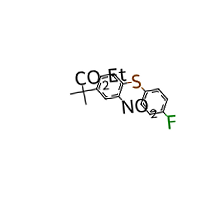 CCOC(=O)C(C)(C)c1ccc(Sc2ccc(F)cc2)c([N+](=O)[O-])c1